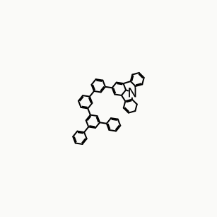 C1=CC2=C(CC1)N1c3ccccc3C3=CC(c4cccc(-c5cccc(-c6cc(-c7ccccc7)cc(-c7ccccc7)c6)c5)c4)=CC2C31